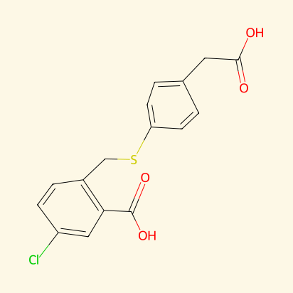 O=C(O)Cc1ccc(SCc2ccc(Cl)cc2C(=O)O)cc1